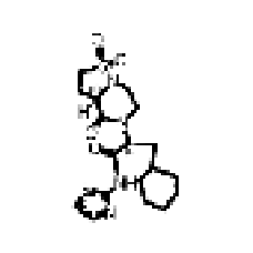 O=C(Nc1nccs1)[C@H](CC1CCCCC1)N1CCN2[C@H](CCS2(=O)=O)C1=O